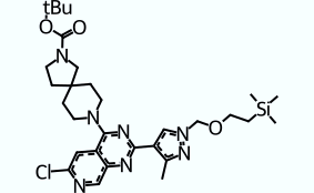 Cc1nn(COCC[Si](C)(C)C)cc1-c1nc(N2CCC3(CCN(C(=O)OC(C)(C)C)C3)CC2)c2cc(Cl)ncc2n1